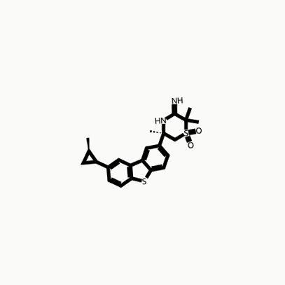 C[C@@H]1CC1c1ccc2sc3ccc([C@]4(C)CS(=O)(=O)C(C)(C)C(=N)N4)cc3c2c1